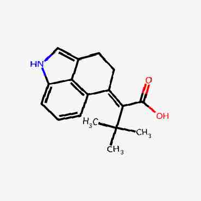 CC(C)(C)/C(C(=O)O)=C1/CCc2c[nH]c3cccc1c23